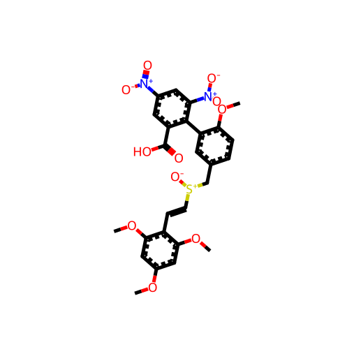 COc1cc(OC)c(C=C[S+]([O-])Cc2ccc(OC)c(-c3c(C(=O)O)cc([N+](=O)[O-])cc3[N+](=O)[O-])c2)c(OC)c1